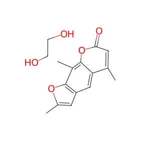 Cc1cc2cc3c(C)cc(=O)oc3c(C)c2o1.OCCO